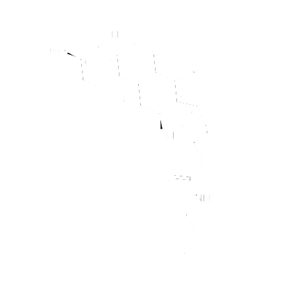 C[C@H](CCC(=O)NCCS(=O)(=O)O)[C@H]1CCC2C3CC[C@@H]4C[C@H](O)CC[C@]4(C)C3C[C@H](O)[C@@]21C